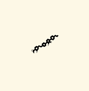 CCCc1ccc(-c2ccc(-c3ccc(CCc4ccc(C5CO5)c(F)c4)cc3)c(F)c2F)cc1